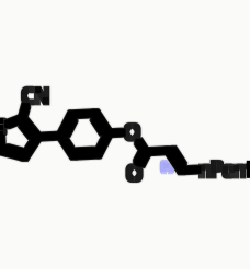 CCCCC/C=C/C(=O)Oc1ccc(-c2ccsc2C#N)cc1